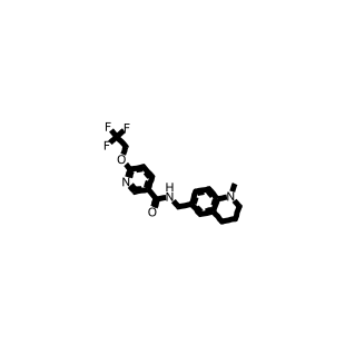 CN1CCCc2cc(CNC(=O)c3ccc(OCC(F)(F)F)nc3)ccc21